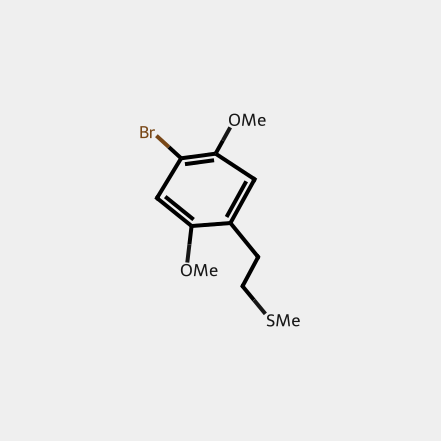 COc1cc(CCSC)c(OC)cc1Br